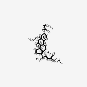 CCC(=O)O[C@@H]1CC[C@]2(C)[C@H]3CC[C@]4(C)[C@@H](C(C)CCC(=O)OC)CC[C@H]4[C@@H]3C(=O)[C@H](CC)[C@@H]2C1